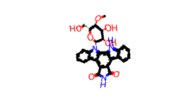 CO[C@H]1[C@H](O)[C@@H](O)[C@H](n2c3ccccc3c3c4c(c5c6ccccc6[nH]c5c32)C(=O)NC4=O)O[C@@H]1CO